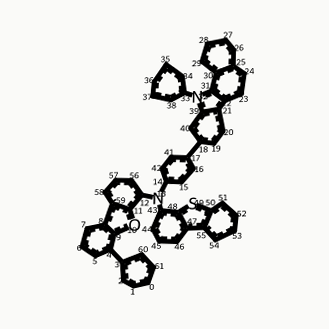 c1ccc(-c2cccc3c2oc2c(N(c4ccc(-c5ccc6c7ccc8ccccc8c7n(-c7ccccc7)c6c5)cc4)c4cccc5c4sc4ccccc45)cccc23)cc1